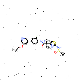 CCOc1cncc(-c2ccc(NC(=O)C(C)(C)c3csc(N[S+]([O-])C4CC4)n3)c(F)c2)c1